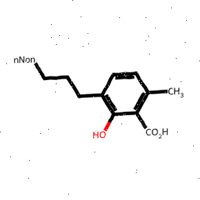 CCCCCCCCCCCCc1ccc(C)c(C(=O)O)c1O